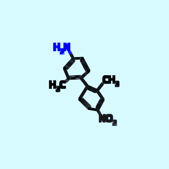 Cc1cc(N)ccc1-c1ccc([N+](=O)[O-])cc1C